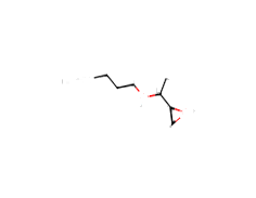 CCCCCCCCOC(C)C1CO1